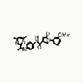 COc1cccc(N2CC(C(=O)Nc3ccc(NC(C)c4nc(C)cc(C)n4)cc3)CC2=O)c1